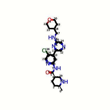 C[C@H]1CC[C@@H](C(=O)Nc2cc(-c3cncc(NCC4CCOCC4)n3)c(Cl)cn2)CN1